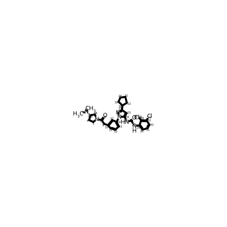 CN(C)[C@H]1CCN(C(=O)Cc2cccc(-n3nc(C4CCCC4)cc3NC(=O)Nc3cccc(Cl)c3Cl)c2)C1